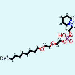 CCCCCCCCCCCCCCCCCCOCCOCCOP(=O)(O)OCC[N+]1(C)CCCCC1